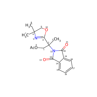 CC(=O)OCC(C)(C1=NC(C)(C)CO1)N1C(=O)c2ccccc2C1=O